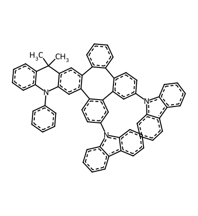 CC1(C)c2ccccc2N(c2ccccc2)c2cc3c(cc21)-c1ccccc1-c1ccc(-n2c4ccccc4c4ccccc42)cc1-c1cc(-n2c4ccccc4c4ccccc42)ccc1-3